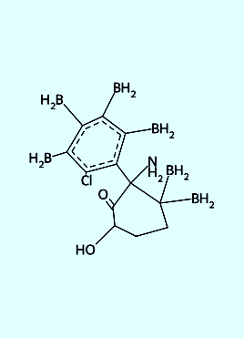 Bc1c(B)c(B)c(C2(N)C(=O)C(O)CCC2(B)B)c(Cl)c1B